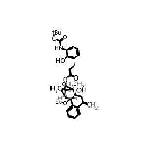 C=C1C[C@]2(O)[C@](OCC)(c3ccccc31)[C@H]1C[C@@H](OC(=O)CCc3cccc(NC(=O)OC(C)(C)C)c3O)[C@]2(C)C1(C)C